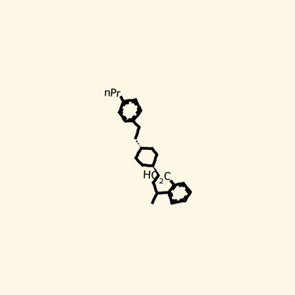 CCCc1ccc(CC[C@H]2CC[C@H](CCC(C)c3ccccc3C(=O)O)CC2)cc1